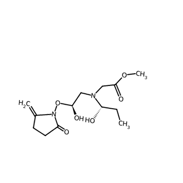 C=C1CCC(=O)N1O[C@H](O)CN(CC(=O)OC)[C@@H](O)CC